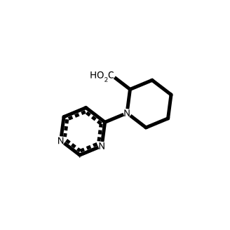 O=C(O)C1CCCCN1c1ccn[c]n1